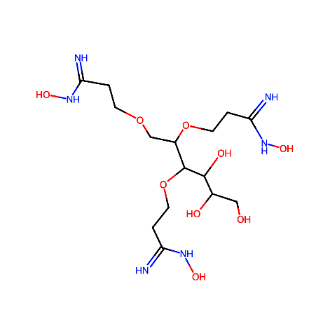 N=C(CCOCC(OCCC(=N)NO)C(OCCC(=N)NO)C(O)C(O)CO)NO